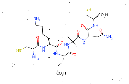 CC(C)(NC(=O)[C@H](CCC(=O)O)NC(=O)[C@H](CCCCN)NC(=O)[C@@H](N)CS)C(=O)N[C@@H](CC(N)=O)C(=O)N[C@@H](CS)C(=O)O